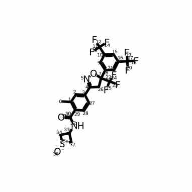 Cc1cc(C2=NOC(c3cc(C(F)(F)F)cc(C(F)(F)F)c3)(C(F)(F)F)C2)ccc1C(=O)NC1C[S+]([O-])C1